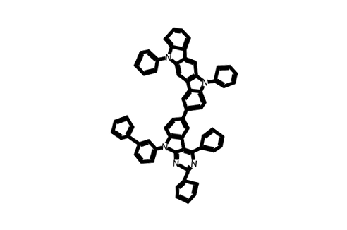 c1ccc(-c2cccc(-n3c4ccc(-c5ccc6c(c5)c5cc7c(cc5n6-c5ccccc5)c5ccccc5n7-c5ccccc5)cc4c4c(-c5ccccc5)nc(-c5ccccc5)nc43)c2)cc1